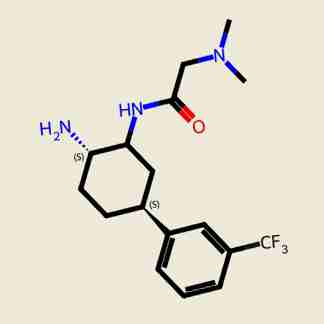 CN(C)CC(=O)NC1C[C@@H](c2cccc(C(F)(F)F)c2)CC[C@@H]1N